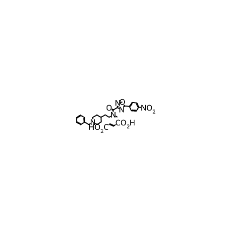 CN(CCC1CCN(Cc2ccccc2)CC1)C(=O)c1noc(-c2ccc([N+](=O)[O-])cc2)n1.O=C(O)C=CC(=O)O